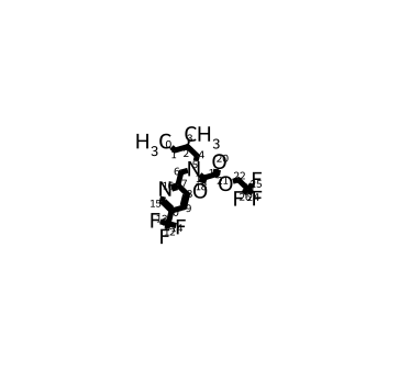 CC[C@H](C)CN(Cc1ccc(C(F)(F)F)cn1)C(=O)C(=O)OCC(F)(F)F